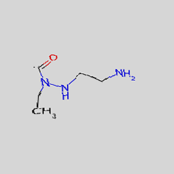 CCN([C]=O)NCCN